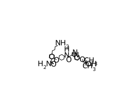 CC(C)(O)COc1ccc2c(C(=O)NC3CCC(Oc4cc(CCCCN)ccc4C(N)=O)CC3)cnn2c1